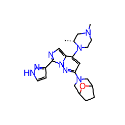 C[C@@H]1CN(C)CCN1c1cc(N2CC3CCC(C2)O3)nn2c(-c3cc[nH]n3)ncc12